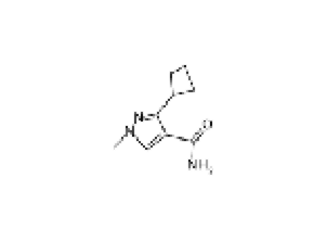 Cn1cc(C(N)=O)c(C2CCC2)n1